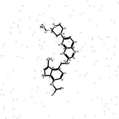 Cc1c[nH]c2c(OC(F)F)ccc(CNc3cnc4ccc(N5CCO[C@@H](CO)C5)nc4n3)c12